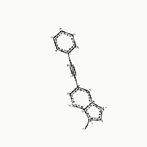 Cn1cnc2cc(C#Cc3ccccc3)cnc21